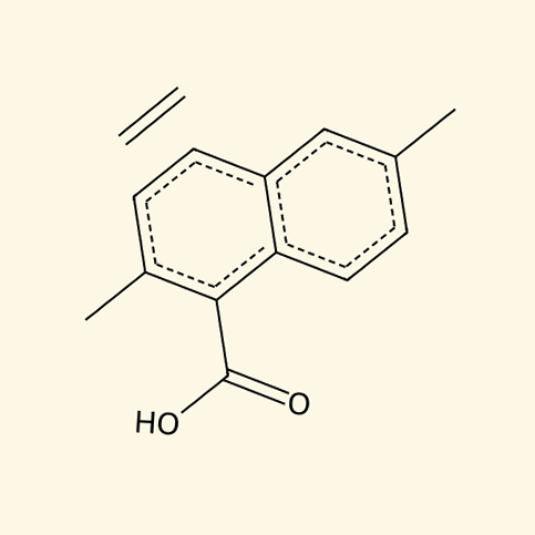 C=C.Cc1ccc2c(C(=O)O)c(C)ccc2c1